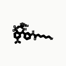 CCCCC1(CCCC)CS(=O)(=O)c2ccc(N(C)C)cc2C(c2cccc(NC(=O)CCCCCBr)c2)N1